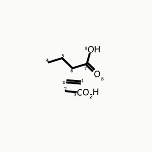 C=C.CC(=O)O.CCCC(=O)O